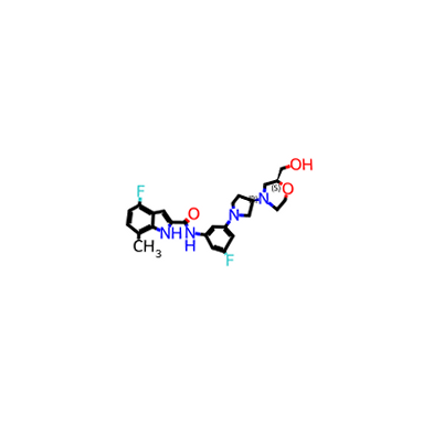 Cc1ccc(F)c2cc(C(=O)Nc3cc(F)cc(N4CC[C@@H](N5CCO[C@H](CO)C5)C4)c3)[nH]c12